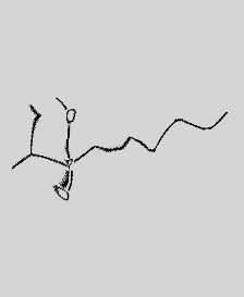 CCCCCCP(=O)(OC)C(C)C